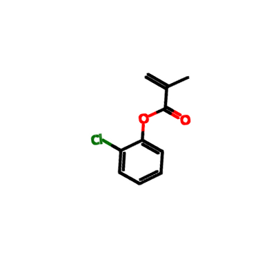 C=C(C)C(=O)Oc1ccccc1Cl